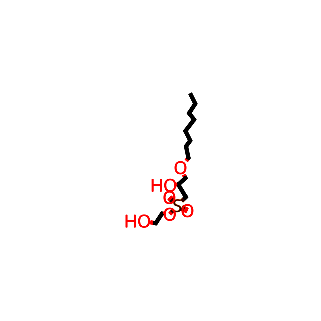 CCCCCCCCOCC(O)CS(=O)(=O)OCCO